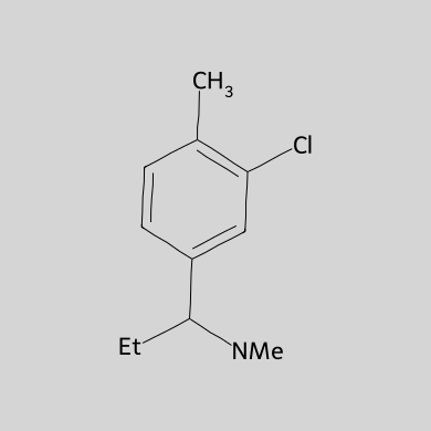 CCC(NC)c1ccc(C)c(Cl)c1